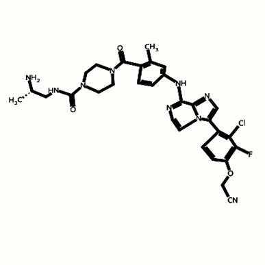 Cc1cc(Nc2nccn3c(-c4ccc(OCC#N)c(F)c4Cl)cnc23)ccc1C(=O)N1CCN(C(=O)NC[C@H](C)N)CC1